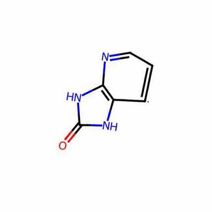 O=c1[nH]c2[c]ccnc2[nH]1